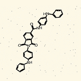 O=C(Nc1ccc(Nc2ccccc2)cc1)c1ccc2c(c1)C(=O)N(c1ccc(Nc3ccccc3)cc1)C2=O